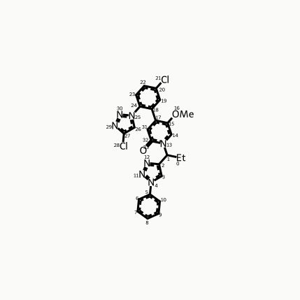 CCC(c1cn(-c2ccccc2)nn1)n1cc(OC)c(-c2cc(Cl)ccc2-n2cc(Cl)nn2)cc1=O